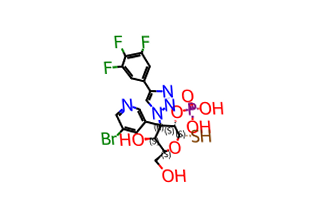 O=P(O)(O)O[C@@H]1[C@H](S)O[C@@H](CO)[C@@H](O)[C@@]1(c1cncc(Br)c1)n1cc(-c2cc(F)c(F)c(F)c2)nn1